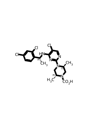 C[C@@H]1CN(c2ncc(Cl)c(N[C@H](C)c3ccc(Cl)cc3Cl)n2)[C@@H](C)CN1C(=O)O